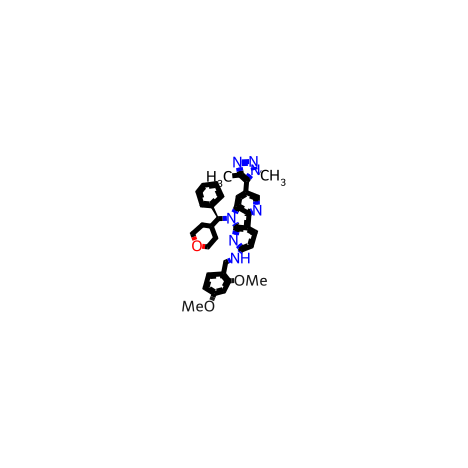 COc1ccc(CNc2ccc3c4ncc(-c5c(C)nnn5C)cc4n([C@H](c4ccccc4)C4CCOCC4)c3n2)c(OC)c1